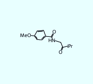 COc1ccc(C(=O)NCC(=O)C(C)C)cc1